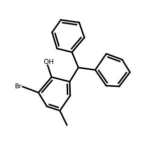 Cc1cc(Br)c(O)c(C(c2ccccc2)c2ccccc2)c1